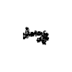 CC(C)(C)OC(=O)C[C@@H](C(=O)OC(C)(C)C)N(CC(=O)OC(C)(C)C)S(=O)(=O)N(Cc1ccc(OC(=O)c2ccc(NC(=NC(=O)OC(C)(C)C)NC(=O)OC(C)(C)C)cc2)cc1)C(=O)OC(C)(C)C